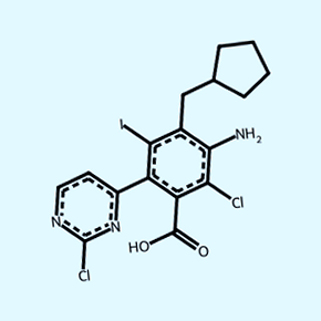 Nc1c(Cl)c(C(=O)O)c(-c2ccnc(Cl)n2)c(I)c1CC1CCCC1